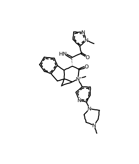 CN1CCN(c2ccc([N+]3(C)C(=O)[C@@H](C(=N)C(=O)c4ccnn4C)C4c5ccccc5CC45CC53)cn2)CC1